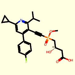 COP(=O)(C#Cc1c(-c2ccc(F)cc2)cc(C2CC2)nc1C(C)C)C[C@@H](O)CC(=O)O